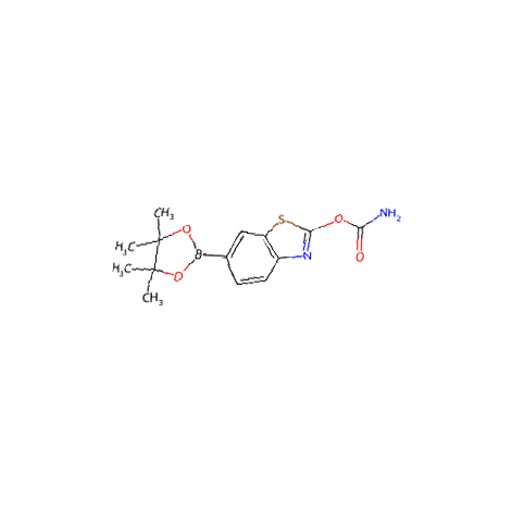 CC1(C)OB(c2ccc3nc(OC(N)=O)sc3c2)OC1(C)C